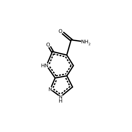 NC(=O)c1cc2c[nH]nc2[nH]c1=O